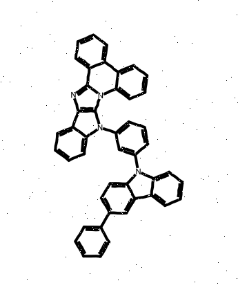 c1ccc(-c2ccc3c(c2)c2ccccc2n3-c2cccc(-n3c4ccccc4c4nc5c6ccccc6c6ccccc6n5c43)c2)cc1